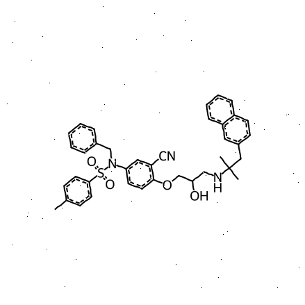 Cc1ccc(S(=O)(=O)N(Cc2ccccc2)c2ccc(OCC(O)CNC(C)(C)Cc3ccc4ccccc4c3)c(C#N)c2)cc1